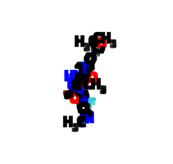 C[C@H]1c2c(nn(C34CC(C3)C4)c2-n2ccn(-c3ccc4c(cnn4C)c3F)c2=O)CCN1C(=O)c1cc2cc([C@@H]3CCOC(C)(C)C3)ccc2n1C1(c2noc(=O)[nH]2)CC1